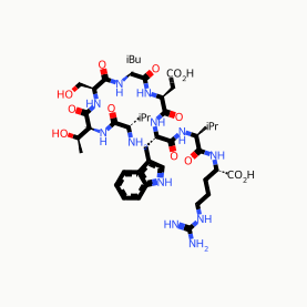 CC[C@H](C)[C@H](NC(=O)[C@H](CO)NC(=O)[C@@H](NC(=O)[C@@H](N)C(C)C)[C@@H](C)O)C(=O)N[C@@H](CC(=O)O)C(=O)N[C@@H](Cc1c[nH]c2ccccc12)C(=O)N[C@H](C(=O)N[C@@H](CCCNC(=N)N)C(=O)O)C(C)C